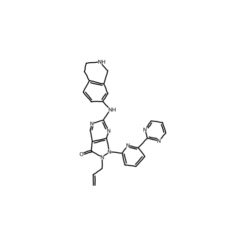 C=CCn1c(=O)c2cnc(Nc3ccc4c(c3)CNCC4)nc2n1-c1cccc(-c2ncccn2)n1